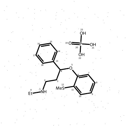 CCNCCC(Oc1ccccc1SC)c1ccccc1.O=P(O)(O)O